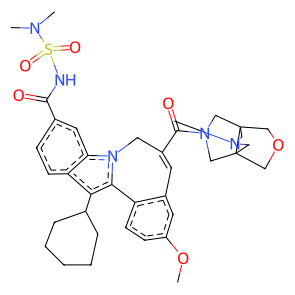 COc1ccc2c(c1)C=C(C(=O)N1CC34COCC3(CN(C)C4)C1)Cn1c-2c(C2CCCCC2)c2ccc(C(=O)NS(=O)(=O)N(C)C)cc21